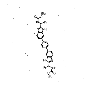 CC(C)C(NC(=O)OC(C)(C)C)c1nc2ccc(-c3ccc(-c4ccc5nc(C(NC(=O)OC(C)(C)C)C(C)C)[nH]c5c4)cc3)cc2[nH]1